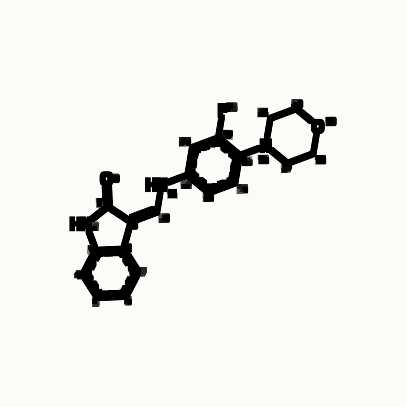 O=C1Nc2ccccc2C1=CNc1ccc(N2CCOCC2)c(F)c1